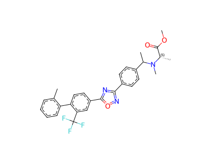 COC(=O)[C@H](C)N(C)C(C)c1ccc(-c2noc(-c3ccc(-c4ccccc4C)c(C(F)(F)F)c3)n2)cc1